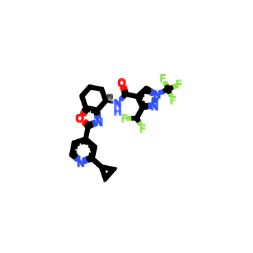 O=C(N[C@H]1CCCc2oc(-c3ccnc(C4CC4)c3)nc21)c1cn(C(F)(F)F)nc1C(F)F